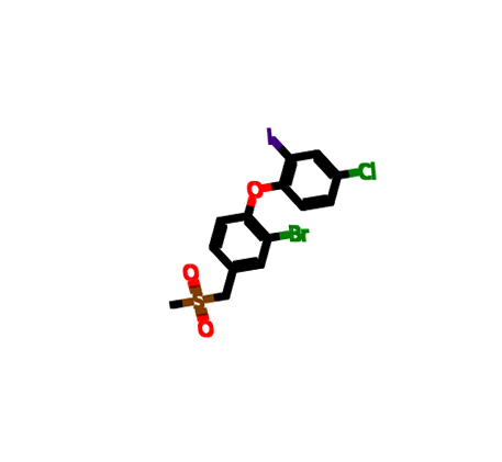 CS(=O)(=O)Cc1ccc(Oc2ccc(Cl)cc2I)c(Br)c1